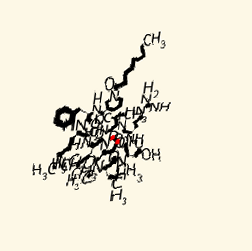 CCCCCCCC(=O)N1CCC[C@H](C(=O)N[C@@H](Cc2ccccc2)C(=O)N[C@H](CCCN(C)C)C(=O)N[C@@H](CC(C)C)C(=O)N2C[C@H](O)C[C@H]2C(=O)N(C)[C@@H](CC(C)C)C(=O)N[C@@H](CC(=O)O)C(=O)N[C@@H](CCCNC(=N)N)C(=O)N[C@H](C(N)=O)[C@@H](C)CC)C1